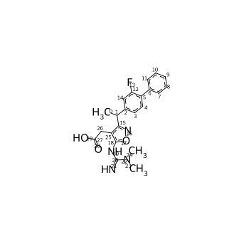 CC(c1ccc(-c2ccccc2)c(F)c1)c1noc(NC(=N)N(C)C)c1CC(=O)O